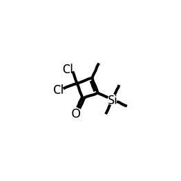 CC1=C([Si](C)(C)C)C(=O)C1(Cl)Cl